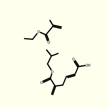 C=C(C)C(=O)OCC.C=C(CC=CC(=O)O)C(=O)OCC(C)C